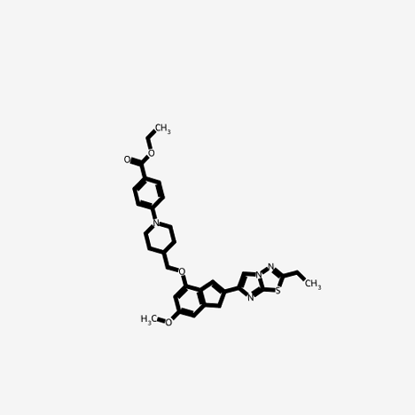 CCOC(=O)c1ccc(N2CCC(COc3cc(OC)cc4c3C=C(c3cn5nc(CC)sc5n3)C4)CC2)cc1